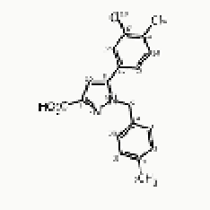 Cc1ccc(Cn2nc(C(=O)O)cc2-c2ccc(Cl)c(Cl)c2)cc1